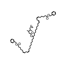 CC(CC(=O)OC(CCCCCCCC/C=C\C/C=C\CCCCC(=O)OCc1ccccc1)CCCCCCCC/C=C\C/C=C\CCCCC(=O)OCc1ccccc1)C(C)CN(C)C